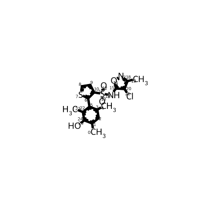 Cc1cc(C)c(-c2sccc2S(=O)(=O)Nc2onc(C)c2Cl)c(C)c1O